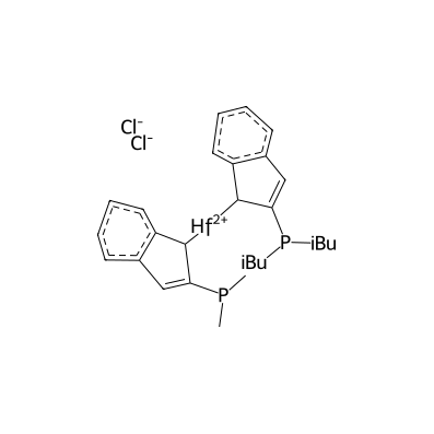 CCC(C)P(C1=Cc2ccccc2[CH]1[Hf+2][CH]1C(P(C)C)=Cc2ccccc21)C(C)CC.[Cl-].[Cl-]